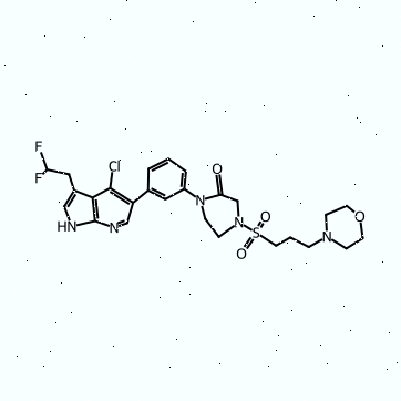 O=C1CN(S(=O)(=O)CCCN2CCOCC2)CCN1c1cccc(-c2cnc3[nH]cc(CC(F)F)c3c2Cl)c1